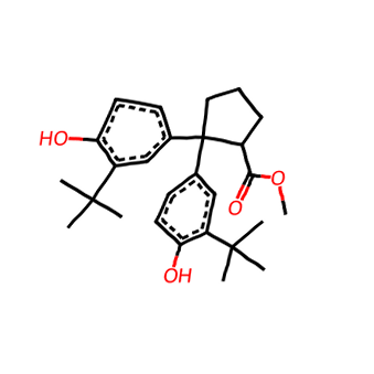 COC(=O)C1CCCC1(c1ccc(O)c(C(C)(C)C)c1)c1ccc(O)c(C(C)(C)C)c1